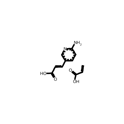 C=CC(=O)O.Nc1ccc(/C=C/C(=O)O)cn1